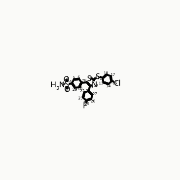 NS(=O)(=O)c1ccc(-c2sc(Sc3ccc(Cl)cc3)nc2-c2ccc(F)cc2)cc1